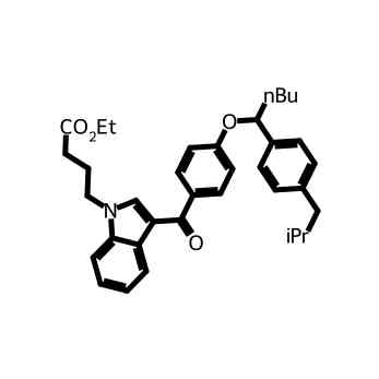 CCCCC(Oc1ccc(C(=O)c2cn(CCCC(=O)OCC)c3ccccc23)cc1)c1ccc(CC(C)C)cc1